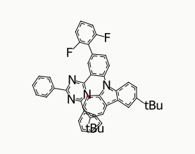 CC(C)(C)c1ccc2c(c1)c1cc(C(C)(C)C)ccc1n2-c1ccc(-c2c(F)cccc2F)cc1-c1nc(-c2ccccc2)nc(-c2ccccc2)n1